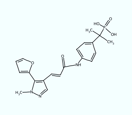 Cn1ncc(/C=C/C(=O)Nc2ccc(C(C)(C)P(=O)(O)O)cc2)c1-c1ccco1